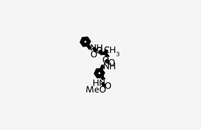 COC(=O)NCc1cccc(CNC(=O)OCC(C)COC(=O)NCc2ccccc2)c1